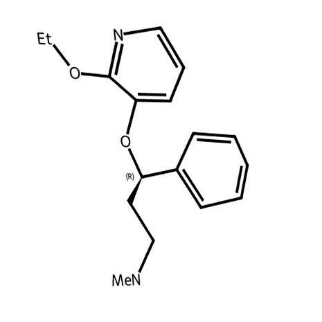 CCOc1ncccc1O[C@H](CCN[11CH3])c1ccccc1